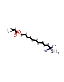 C=CC(=O)OCCCCCCCCCCC([SiH3])(I)I